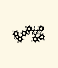 c1ccc(C2NC(c3cccc4c3oc3cc(-c5cccc6oc7ccccc7c56)ccc34)=NC(c3cccc4sc5ccccc5c34)N2)cc1